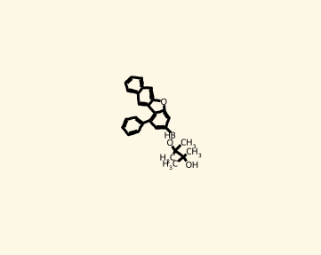 CC(C)(O)C(C)(C)OBc1cc(-c2ccccc2)c2c(c1)oc1cc3ccccc3cc12